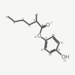 CCCCC(C)C(=O)Oc1ccc(O)cc1